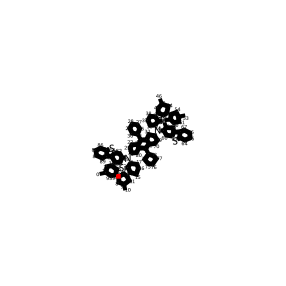 Cc1ccc([Si]2(c3ccc(C)cc3)c3ccccc3N(c3ccc4c(-c5ccccc5)c5cc(N6c7ccccc7[Si](c7ccc(C)cc7)(c7ccc(C)cc7)c7cc8c(cc76)sc6ccccc68)ccc5c(-c5ccccc5)c4c3)c3cc4sc5ccccc5c4cc32)cc1